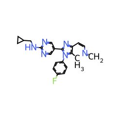 C=N/C=C\c1nc(-c2cnc(NCC3CC3)nc2)n(-c2ccc(F)cc2)c1C